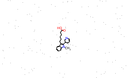 Cn1c(-c2cccnc2)c(CCCCCC(=O)O)c2ccccc21